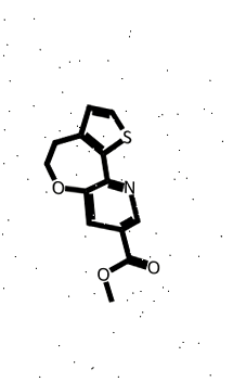 COC(=O)c1cnc2c(c1)OCCc1ccsc1-2